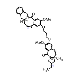 C/C=C1\CN2C(=O)c3cc(OC)c(OCCCOc4cc5c(cc4OC)C(=O)N4Cc6ccccc6C[C@@H]4C/C=N\5)cc3N=C[C@]2(C)C1